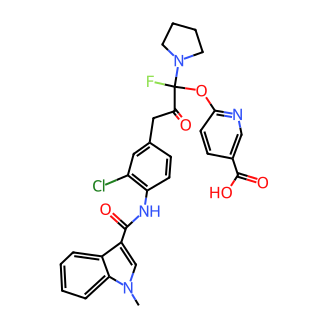 Cn1cc(C(=O)Nc2ccc(CC(=O)C(F)(Oc3ccc(C(=O)O)cn3)N3CCCC3)cc2Cl)c2ccccc21